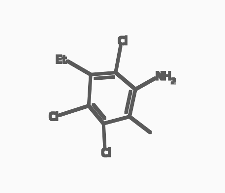 CCc1c(Cl)c(N)c(C)c(Cl)c1Cl